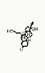 C#C[C@@]1(O)CC[C@H]2[C@@H]3[C@H](CCCO)CC4=CC(=O)CC[C@@H]4[C@H]3CC[C@@]21C